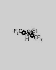 CCSc1cc(C(F)(F)F)ccc1C(=O)Nc1ccc(C(F)(F)F)cc1